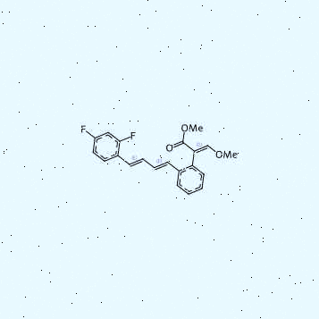 CO/C=C(/C(=O)OC)c1ccccc1/C=C/C=C/c1ccc(F)cc1F